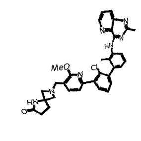 COc1nc(-c2cccc(-c3cccc(Nc4nc(C)nc5cccnc45)c3C)c2Cl)ccc1CN1CC2(CCC(=O)N2)C1